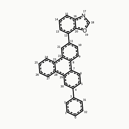 c1ccc(-c2ccc3c4ccc(-c5cccc6ncoc56)cc4c4ccccc4c3c2)cc1